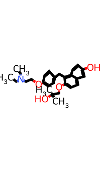 CCN(CC)CCOc1ccc(Cc2c(OCC(C)(C)O)ccc3cc(O)ccc23)cc1